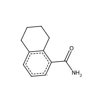 NC(=O)c1[c]ccc2c1CCCC2